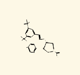 O=C(O)N1C[C@H](OC=Cc2cc(C(F)(F)F)cc(C(F)(F)F)c2)[C@@H](c2ccc(F)cc2)C1